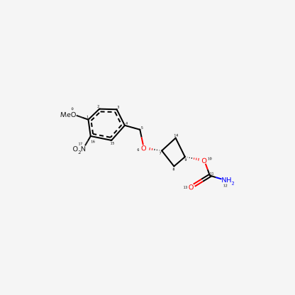 COc1ccc(CO[C@H]2C[C@@H](OC(N)=O)C2)cc1[N+](=O)[O-]